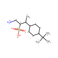 CC(C1CCC(C(C)(C)C)CC1)C(CN)S(=O)(=O)O